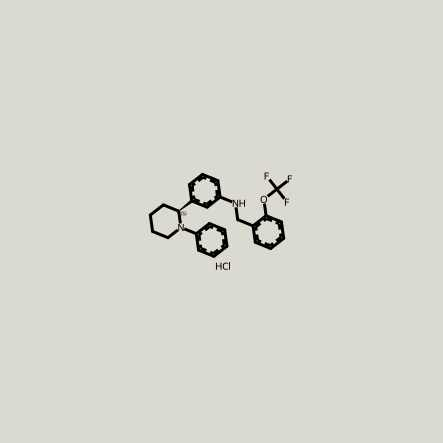 Cl.FC(F)(F)Oc1ccccc1CNc1cccc([C@@H]2CCCCN2c2ccccc2)c1